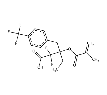 C=C(C)C(=O)OC(CC)(Cc1ccc(C(F)(F)F)cc1)C(F)(F)C(=O)O